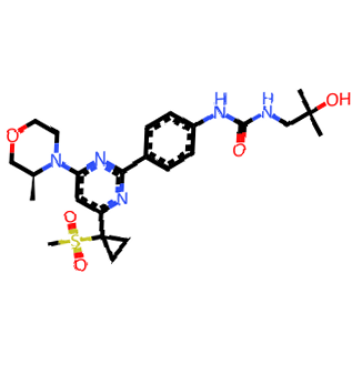 C[C@H]1COCCN1c1cc(C2(S(C)(=O)=O)CC2)nc(-c2ccc(NC(=O)NCC(C)(C)O)cc2)n1